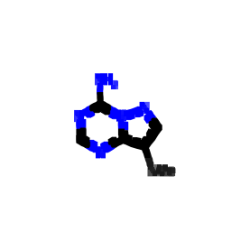 CNc1cnn2c(N)ncnc12